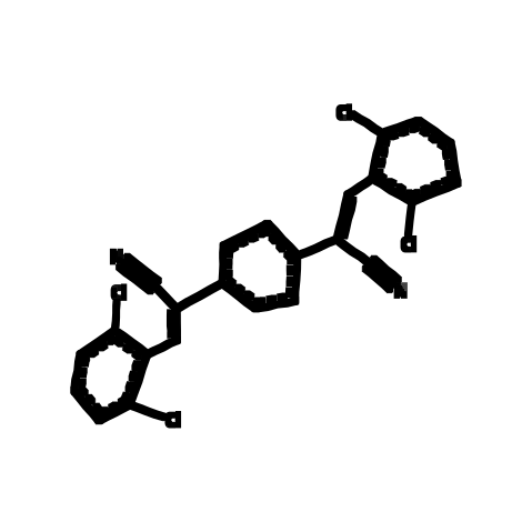 N#C/C(=C\c1c(Cl)cccc1Cl)c1ccc(/C(C#N)=C/c2c(Cl)cccc2Cl)cc1